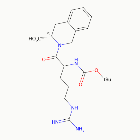 CC(C)(C)OC(=O)NC(CCCNC(=N)N)C(=O)N1Cc2ccccc2C[C@H]1C(=O)O